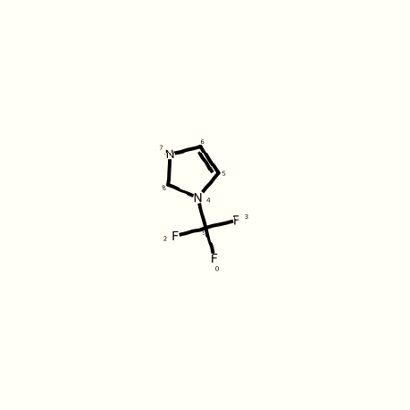 FC(F)(F)N1C=C[N]C1